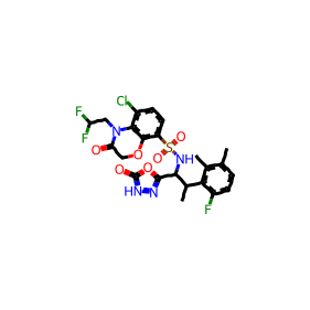 Cc1ccc(F)c(C(C)C(NS(=O)(=O)c2ccc(Cl)c3c2OCC(=O)N3CC(F)F)c2n[nH]c(=O)o2)c1C